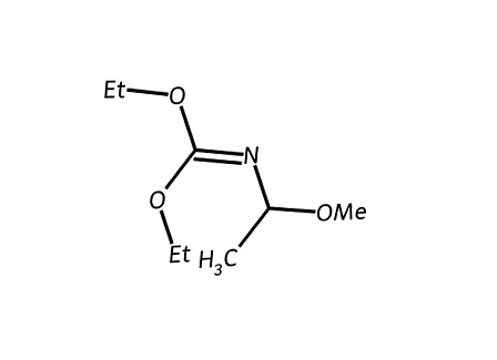 CCOC(=NC(C)OC)OCC